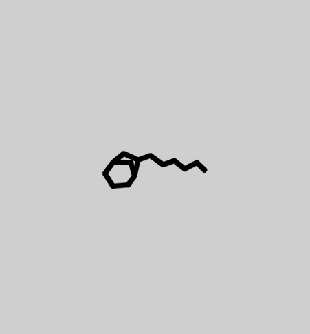 CCCCCCC1CC2CCCC1C2